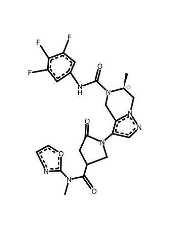 C[C@H]1Cn2ncc(N3CC(C(=O)N(C)c4ncco4)CC3=O)c2CN1C(=O)Nc1cc(F)c(F)c(F)c1